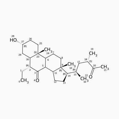 CC[C@H]1C(=O)C2C(CC[C@@]3(C)C2CC[C@@H]3[C@H](C)C[C@H](C)C(C)=O)[C@@]2(C)CC[C@@H](O)CC12